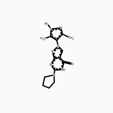 Cc1nn(C(C)C)c(C)c1-n1cc2c(=O)[nH]c(N3CCCC3)nc2n1